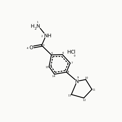 Cl.NNC(=O)c1ccc(N2CCCC2)cc1